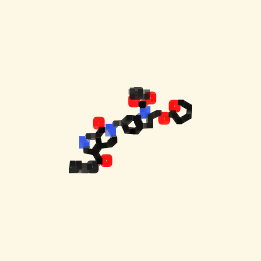 COC(=O)c1cncc2c(=O)n(Cc3ccc4cc(COC5CCCCO5)n(C(=O)OC(C)(C)C)c4c3)ccc12